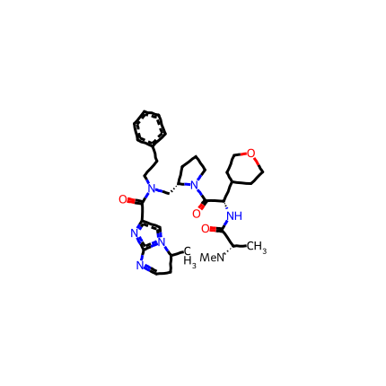 CN[C@@H](C)C(=O)N[C@H](C(=O)N1CCC[C@H]1CN(CCc1ccccc1)C(=O)c1cn2c(n1)N=CCC2C)C1CCOCC1